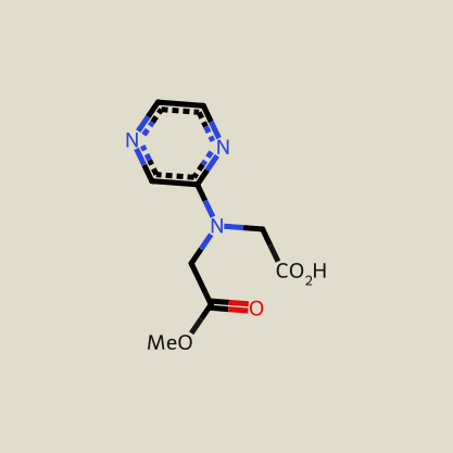 COC(=O)CN(CC(=O)O)c1cnccn1